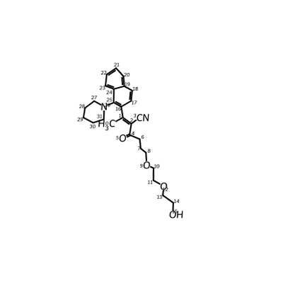 C/C(=C(/C#N)C(=O)CCCOCCOCCO)c1ccc2ccccc2c1N1CCCCC1